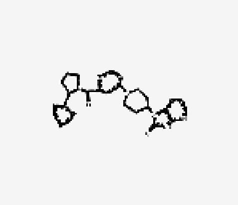 O=C(c1cc(N2CCC(n3c(=O)[nH]c4ncccc43)CC2)ncn1)N1CCCC1c1ccccc1